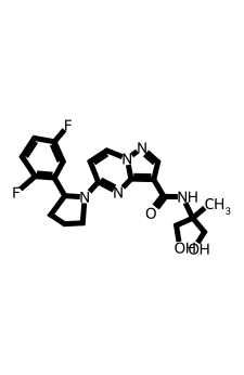 CC(CO)(CO)NC(=O)c1cnn2ccc(N3CCCC3c3cc(F)ccc3F)nc12